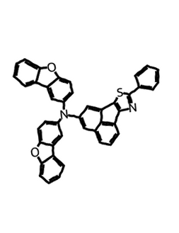 c1ccc(-c2nc3c(s2)-c2cc(N(c4ccc5oc6ccccc6c5c4)c4ccc5oc6ccccc6c5c4)cc4cccc-3c24)cc1